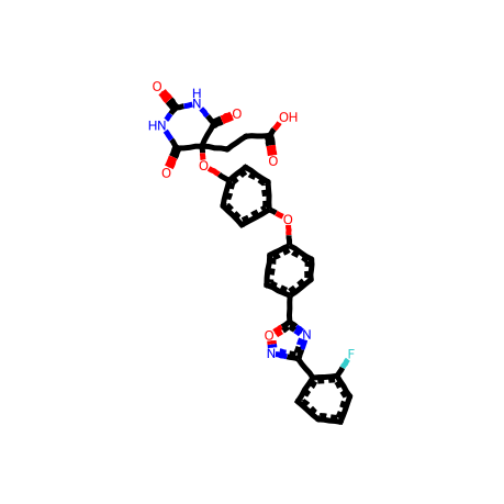 O=C(O)CCC1(Oc2ccc(Oc3ccc(-c4nc(-c5ccccc5F)no4)cc3)cc2)C(=O)NC(=O)NC1=O